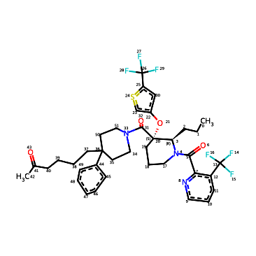 CCC[C@H]1N(C(=O)c2ncccc2C(F)(F)F)CCC[C@@]1(Oc1csc(C(F)(F)F)c1)C(=O)N1CCC(CCCCC(C)=O)(c2ccccc2)CC1